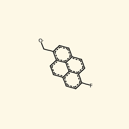 [O]Cc1ccc2ccc3c(F)ccc4ccc1c2c43